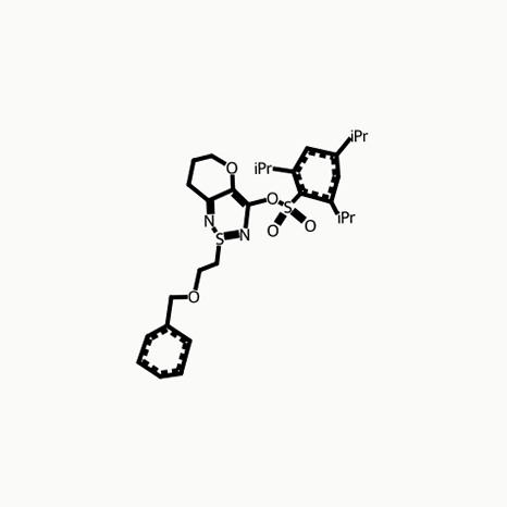 CC(C)c1cc(C(C)C)c(S(=O)(=O)OC2=C3OCCCC3=NS(CCOCc3ccccc3)=N2)c(C(C)C)c1